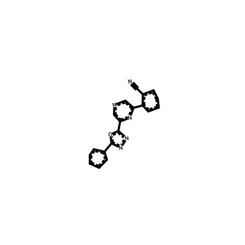 N#Cc1ccccc1-c1cncc(-c2nnc(-c3ccccc3)o2)n1